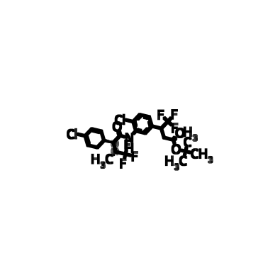 C[C@H]([C@H](C(=O)Nc1cc(C(CC(=O)OC(C)(C)C)C(F)(F)F)ccc1Cl)C1C=CC(Cl)=CC1)C(F)(F)F